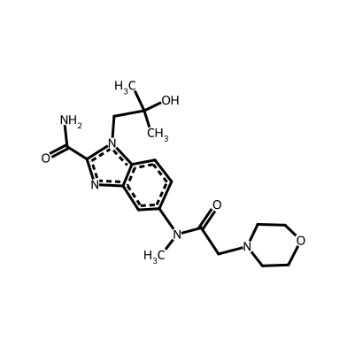 CN(C(=O)CN1CCOCC1)c1ccc2c(c1)nc(C(N)=O)n2CC(C)(C)O